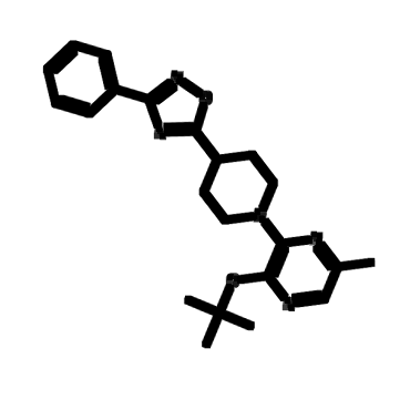 Cc1cnc(OC(C)(C)C)c(N2CCC(c3nc(-c4ccccc4)no3)CC2)n1